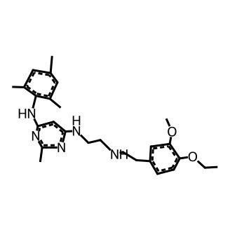 CCOc1ccc(CCNCCNc2cc(Nc3c(C)cc(C)cc3C)nc(C)n2)cc1OC